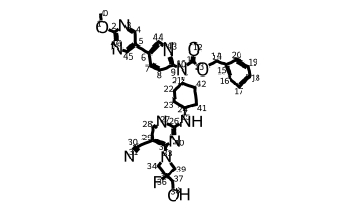 COc1ncc(-c2ccc(N(C(=O)OCc3ccccc3)[C@H]3CC[C@H](Nc4ncc(C#N)c(N5CC(F)(CO)C5)n4)CC3)nc2)cn1